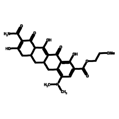 COCCOC(=O)c1cc(N(C)C)c2c(c1O)C(=O)C1=C(O)C3C(=O)C(C(N)=O)=C(O)CC3CC1C2